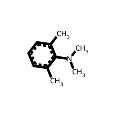 Cc1[c]ccc(C)c1N(C)C